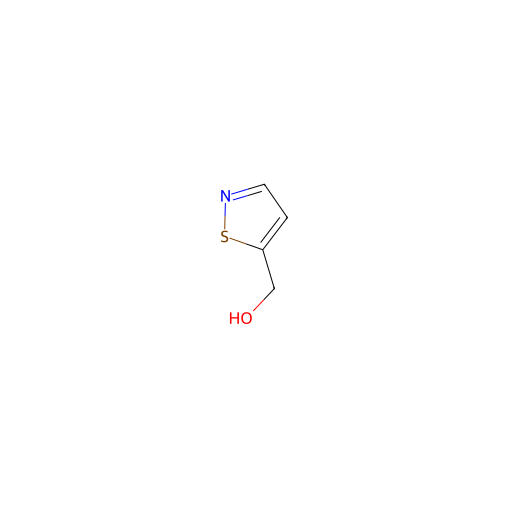 OCc1ccns1